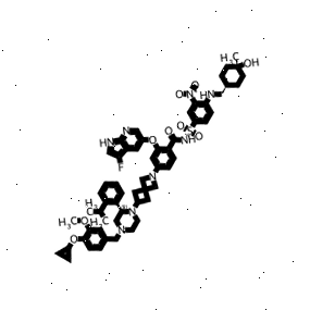 COc1cc(CN2CCN(C3CC4(C3)CN(c3ccc(C(=O)NS(=O)(=O)c5ccc(NC[C@H]6CC[C@](C)(O)CC6)c([N+](=O)[O-])c5)c(Oc5cnc6[nH]cc(F)c6c5)c3)C4)[C@H](c3ccccc3C(C)C)C2)ccc1OC1CC1